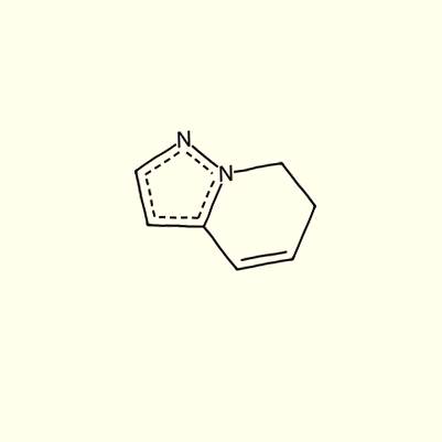 C1=Cc2ccnn2CC1